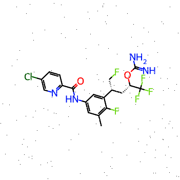 Cc1cc(NC(=O)c2ccc(Cl)cn2)cc([C@H](CF)C[C@H](OC(=N)N)C(F)(F)F)c1F